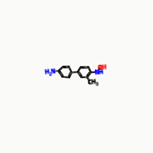 Cc1cc(-c2ccc(N)cc2)ccc1NO